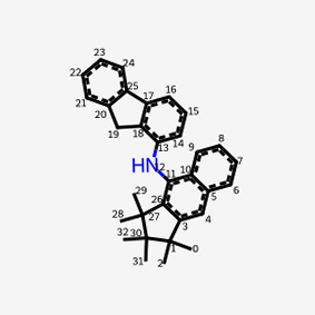 CC1(C)c2cc3ccccc3c(Nc3cccc4c3Cc3ccccc3-4)c2C(C)(C)C1(C)C